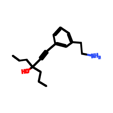 CCCC(O)(C#Cc1cccc(CCN)c1)CCC